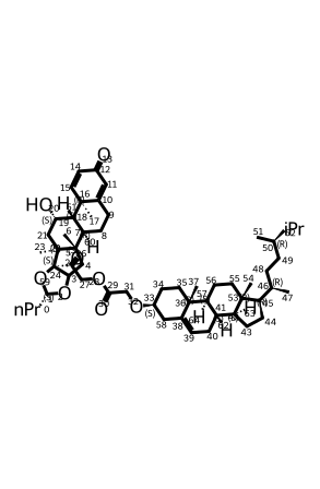 CCC[C@H]1OC2C[C@@]3(C)[C@@H]4CCC5=CC(=O)C=C[C@]5(C)[C@H]4[C@@H](O)C[C@]3(C)[C@]2(C(=O)COC(=O)CO[C@H]2CC[C@@]3(C)C(=CC[C@H]4[C@@H]5CC[C@H]([C@H](C)CC[C@@H](C)C(C)C)[C@@]5(C)CC[C@@H]43)C2)O1